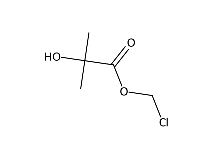 CC(C)(O)C(=O)OCCl